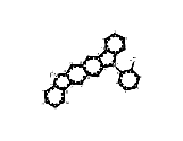 Clc1ccccc1-n1c2ccccc2c2cc3cc4[nH]c5ccccc5c4cc3cc21